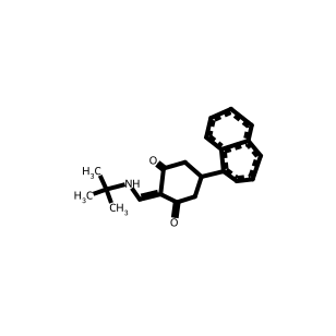 CC(C)(C)NC=C1C(=O)CC(c2cccc3ccccc23)CC1=O